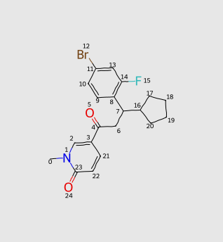 Cn1cc(C(=O)CC(c2ccc(Br)cc2F)C2CCCC2)ccc1=O